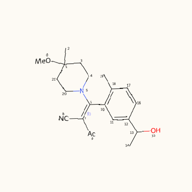 COC1(C)CCN(/C(=C(\C#N)C(C)=O)c2cc(C(C)O)ccc2C)CC1